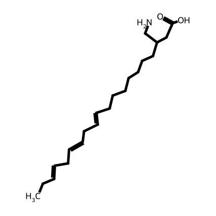 CCC=CCC=CCC=CCCCCCCCC(CN)CC(=O)O